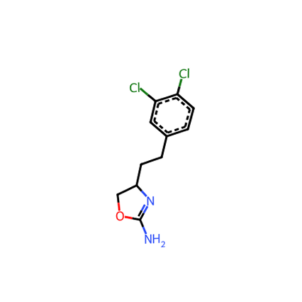 NC1=NC(CCc2ccc(Cl)c(Cl)c2)CO1